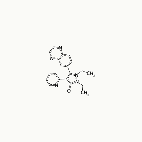 CCn1c(-c2ccc3nccnc3c2)c(-c2ccccn2)c(=O)n1CC